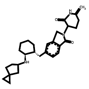 C=C1CCC(N2Cc3cc(C[C@H]4CCCC[C@@H]4NC4CCC5(CC5)C4)ccc3C2=O)C(=O)N1